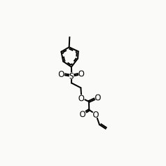 C=COC(=O)C(=O)OCCS(=O)(=O)c1ccc(C)cc1